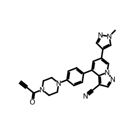 C#CC(=O)N1CCN(c2ccc(-c3cc(-c4cnn(C)c4)cn4ncc(C#N)c34)cc2)CC1